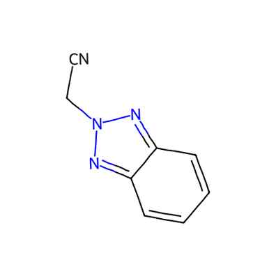 N#CCn1nc2ccccc2n1